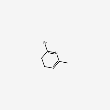 CC1=CCCC(Br)=N1